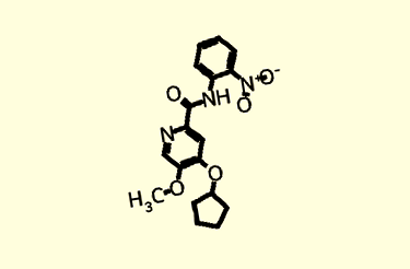 COc1cnc(C(=O)Nc2ccccc2[N+](=O)[O-])cc1OC1CCCC1